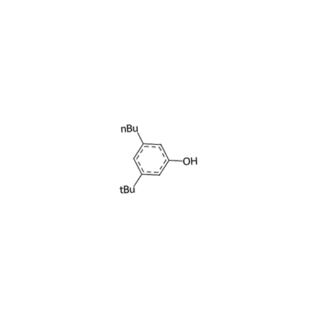 CCCCc1cc(O)cc(C(C)(C)C)c1